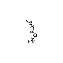 CCC1=NCC(c2cccc(NCC3=C4CC4(C4=NC(C5CC5)=NC4)CC3)c2)=N1